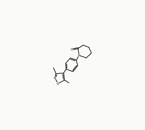 Cc1noc(C)c1-c1ccc(N2CCCCC2=O)cc1